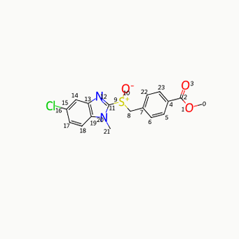 COC(=O)c1ccc(C[S+]([O-])c2nc3cc(Cl)ccc3n2C)cc1